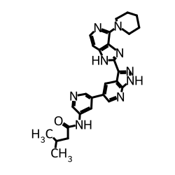 CC(C)CC(=O)Nc1cncc(-c2cnc3[nH]nc(-c4nc5c(N6CCCCC6)nccc5[nH]4)c3c2)c1